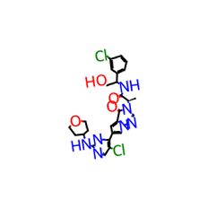 C[C@H](C(=O)NC(CO)c1cccc(Cl)c1)n1cnn2cc(-c3nc(NC4CCOCC4)ncc3Cl)cc2c1=O